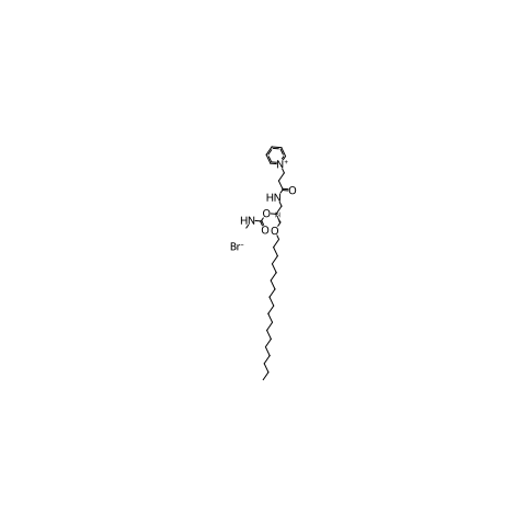 CCCCCCCCCCCCCCCCCCOC[C@H](CNC(=O)CC[n+]1ccccc1)OC(=O)NC.[Br-]